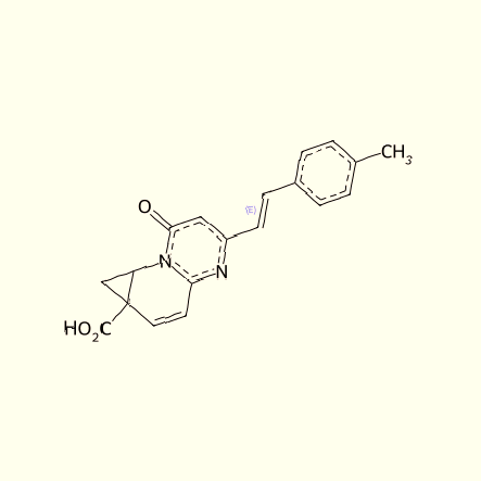 Cc1ccc(/C=C/c2cc(=O)n3c(n2)C=CC2(C(=O)O)CC32)cc1